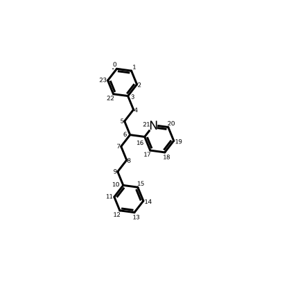 [c]1ccc(CCC(CCCc2ccccc2)c2ccccn2)cc1